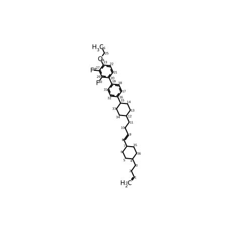 C=CCCC1CCC(/C=C/CCC2CCC(c3ccc(-c4ccc(OCC)c(F)c4F)cc3)CC2)CC1